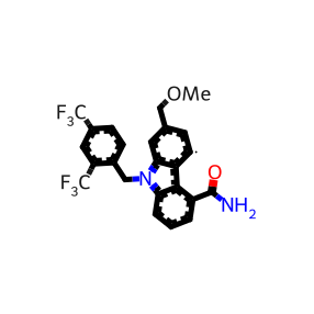 COCc1c[c]c2c3c(C(N)=O)cccc3n(Cc3ccc(C(F)(F)F)cc3C(F)(F)F)c2c1